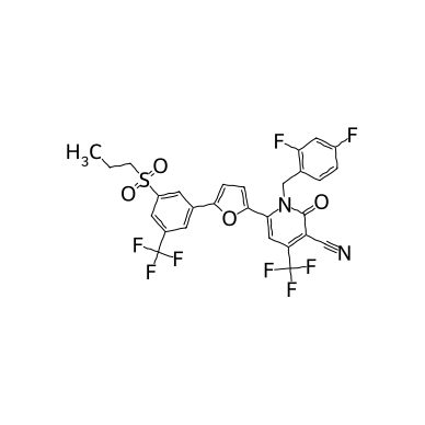 CCCS(=O)(=O)c1cc(-c2ccc(-c3cc(C(F)(F)F)c(C#N)c(=O)n3Cc3ccc(F)cc3F)o2)cc(C(F)(F)F)c1